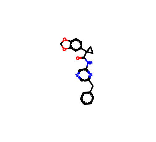 O=C(Nc1cncc(Cc2ccccc2)n1)C1(c2ccc3c(c2)OCO3)CC1